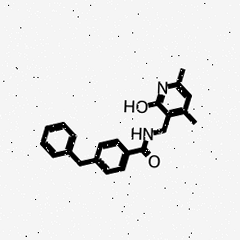 Cc1cc(C)c(CNC(=O)c2ccc(Cc3ccccc3)cc2)c(O)n1